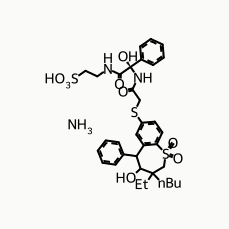 CCCCC1(CC)CS(=O)(=O)c2ccc(SCC(=O)N[C@](O)(C(=O)NCCS(=O)(=O)O)c3ccccc3)cc2C(c2ccccc2)C1O.N